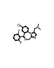 CN(C)Cc1cnc2n1-c1ccc(Cl)cc1C(c1c(F)cccc1F)=NC2